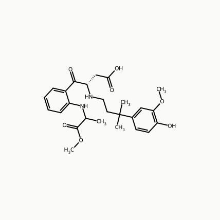 COC(=O)C(C)Nc1ccccc1C(=O)[C@H](CC(=O)O)NCCC(C)(C)c1ccc(O)c(OC)c1